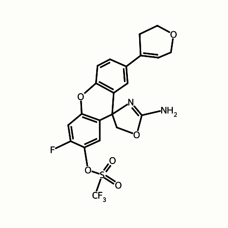 NC1=NC2(CO1)c1cc(C3=CCOCC3)ccc1Oc1cc(F)c(OS(=O)(=O)C(F)(F)F)cc12